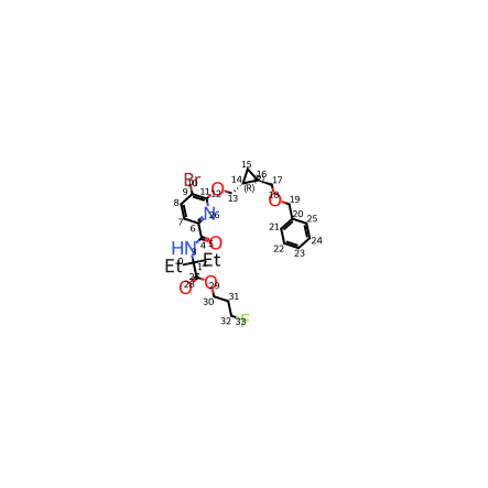 CCC(CC)(NC(=O)c1ccc(Br)c(OC[C@@H]2C[C@H]2COCc2ccccc2)n1)C(=O)OCCCF